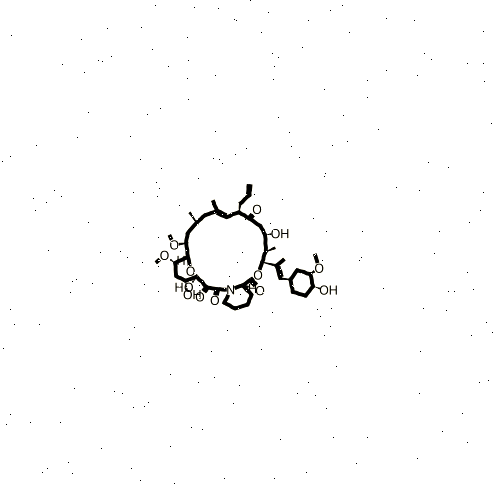 C=CC[C@@H]1/C=C(\C)C[C@H](C)C[C@H](OC)[C@H]2O[C@@](O)(C(=O)C(=O)N3CCCC[C@H]3C(=O)O[C@H](/C(C)=C/[C@@H]3CC[C@@H](O)[C@H](OC)C3)[C@H](C)[C@@H](O)CC1=O)[C@H](O)C[C@@H]2OC